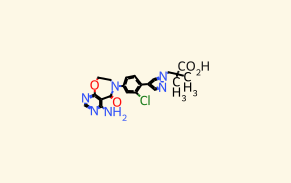 CC(C)(Cn1cc(-c2ccc(N3CCOc4ncnc(N)c4C3=O)cc2Cl)cn1)C(=O)O